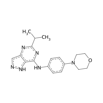 CC(C)c1nc(Nc2ccc(N3CCOCC3)cc2)c2[nH]ncc2n1